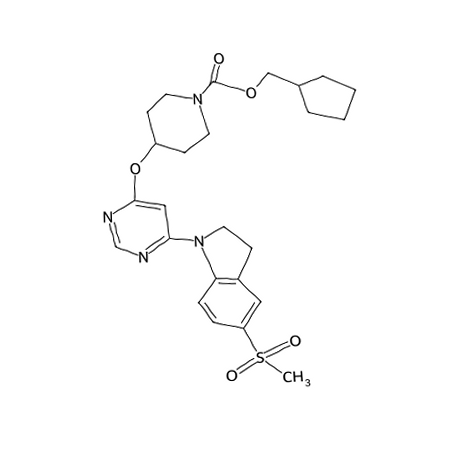 CS(=O)(=O)c1ccc2c(c1)CCN2c1cc(OC2CCN(C(=O)OCC3CCCC3)CC2)ncn1